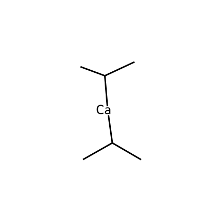 C[CH](C)[Ca][CH](C)C